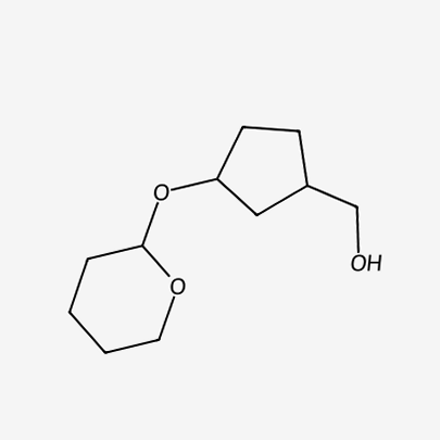 OCC1CCC(OC2CCCCO2)C1